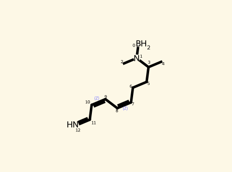 BN(C)C(C)CC/C=C\C=C/C=N